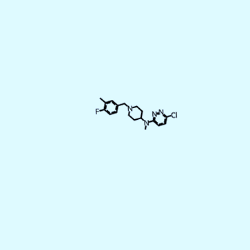 Cc1cc(CN2CCC(N(C)c3ccc(Cl)nn3)CC2)ccc1F